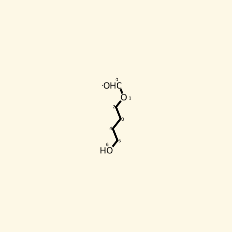 O=[C]OCCCCO